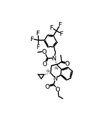 CCOC(=O)N1c2ccccc2[C@@](C(C)=O)(N(Cc2cc(C(F)(F)F)cc(C(F)(F)F)c2)C(=O)OC)C[C@H]1C1CC1